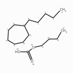 CCCCCC1CCCCCC1.CCCCOC(=O)O